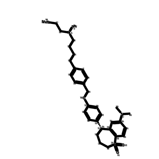 CCCN(CCCCc1ccc(COc2ccc([C@H]3CCCS(=O)(=O)c4ccc(N(C)C)cc43)cc2)cc1)CCNC